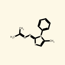 CC(C)=N/N=c1\scc(C)n1-c1ccccc1